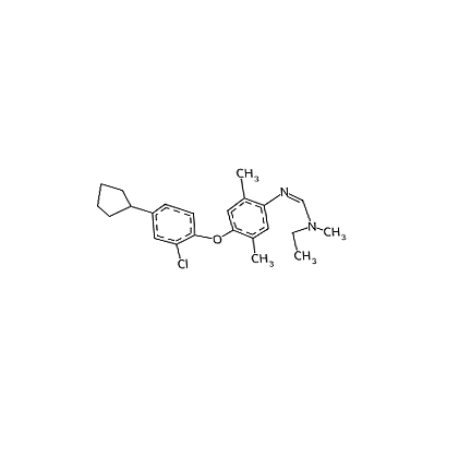 CCN(C)/C=N\c1cc(C)c(Oc2ccc(C3CCCC3)cc2Cl)cc1C